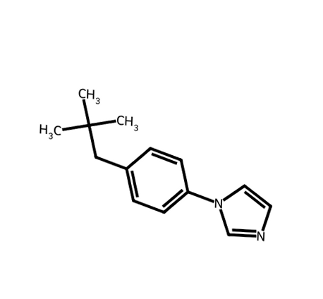 CC(C)(C)Cc1ccc(-n2ccnc2)cc1